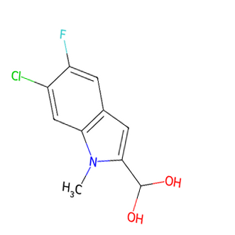 Cn1c(C(O)O)cc2cc(F)c(Cl)cc21